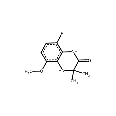 COc1ccc(F)c2c1NC(C)(C)C(=O)N2